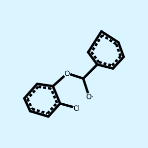 [O]C(Oc1ccccc1Cl)c1ccccc1